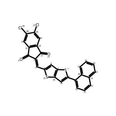 O=C1C(=Cc2cc3sc(-c4cccc5ccccc45)cc3s2)C(=O)c2cc(Cl)c(Cl)cc21